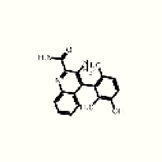 Cc1ccc(O)c(C)c1-c1c(N)c(C(N)=O)nc2ccccc12